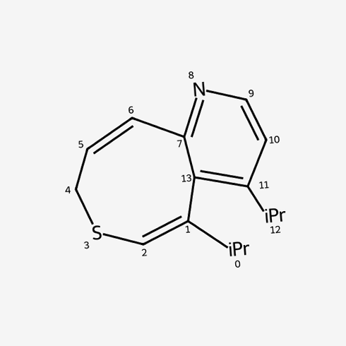 CC(C)/C1=C/SC/C=C\c2nccc(C(C)C)c21